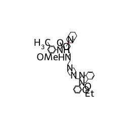 CCOc1ccccc1N1C(=O)C2C=CC=CC2=NC1CN1CCN(CCNCCCCN2C3CCCC2CC(OC(=O)Nc2cc(C)ccc2OC)C3)CC1